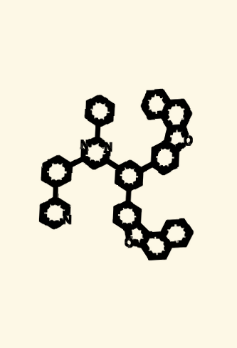 c1ccc(-c2nc(-c3cccc(-c4cccnc4)c3)cc(-c3cc(-c4ccc5oc6ccc7ccccc7c6c5c4)cc(-c4ccc5oc6ccc7ccccc7c6c5c4)c3)n2)cc1